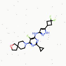 Fc1c(Nc2cc(C3CC(F)(F)C3)[nH]n2)nc(C2CC2)nc1N1CCC2(CCOC2)CC1